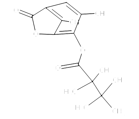 Cc1cc2c(C)c(c1OC(=O)C(C)(C)C(C)(C)C)OC2=O